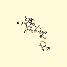 CC1(C)[C@H](C(=O)O)N2C(=O)/C(=C/c3cc(C(=O)NCc4ccc(O)c(O)c4)ccn3)C2S1(=O)=O